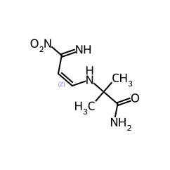 CC(C)(N/C=C\C(=N)[N+](=O)[O-])C(N)=O